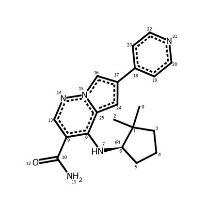 CC1(C)CCC[C@H]1Nc1c(C(N)=O)cnn2cc(-c3ccncc3)cc12